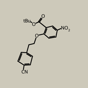 CC(C)(C)OC(=O)c1cc([N+](=O)[O-])ccc1OCCc1ccc(C#N)cc1